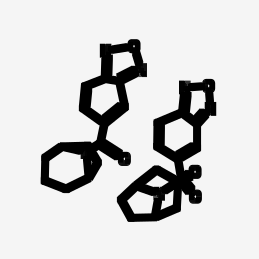 O=C(c1ccc2nonc2c1)N1C2CCCC1CC2.O=C1CC2CCC(C1)N2C(=O)c1ccc2nonc2c1